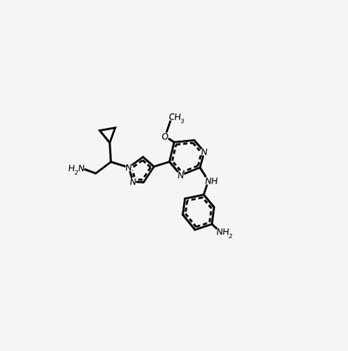 COc1cnc(Nc2cccc(N)c2)nc1-c1cnn(C(CN)C2CC2)c1